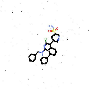 NS(=O)(=O)c1cncc(-c2c(Cl)nc(NCc3ccccc3)c3c(-c4ccccc4)cccc23)c1